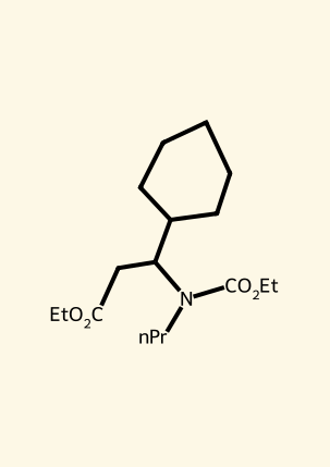 CCCN(C(=O)OCC)C(CC(=O)OCC)C1CCCCC1